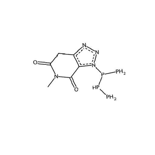 CN1C(=O)Cc2nnn(P(P)PP)c2C1=O